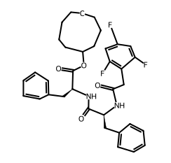 O=C(Cc1c(F)cc(F)cc1F)N[C@@H](Cc1ccccc1)C(=O)N[C@@H](Cc1ccccc1)C(=O)OC1CCCCCCCC1